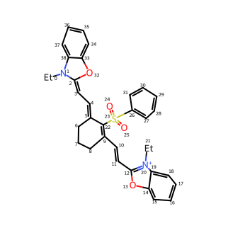 CCN1/C(=C/C=C2\CCCC(/C=C/c3oc4ccccc4[n+]3CC)=C2S(=O)(=O)c2ccccc2)Oc2ccccc21